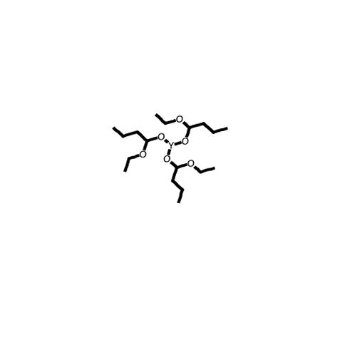 CCCC(OCC)[O][Y]([O]C(CCC)OCC)[O]C(CCC)OCC